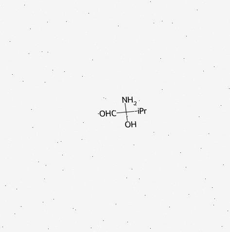 CC(C)C(N)(O)[C]=O